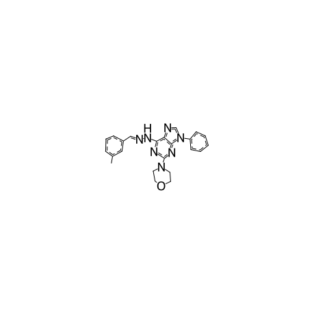 Cc1cccc(/C=N/Nc2nc(N3CCOCC3)nc3c2ncn3-c2ccccc2)c1